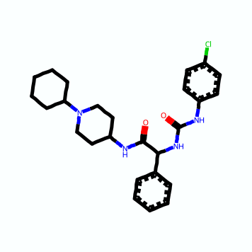 O=C(Nc1ccc(Cl)cc1)NC(C(=O)NC1CCN(C2CCCCC2)CC1)c1ccccc1